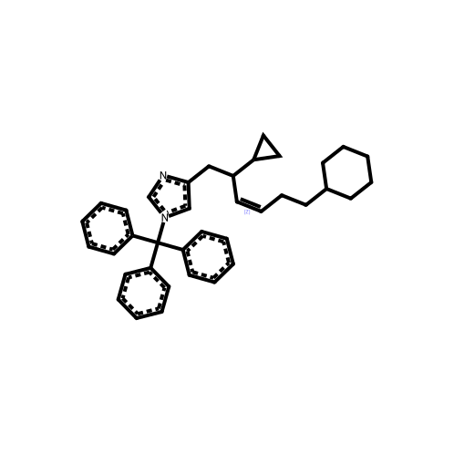 C(=C/C(Cc1cn(C(c2ccccc2)(c2ccccc2)c2ccccc2)cn1)C1CC1)/CCC1CCCCC1